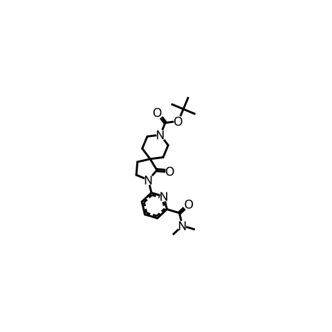 CN(C)C(=O)c1cccc(N2CCC3(CCN(C(=O)OC(C)(C)C)CC3)C2=O)n1